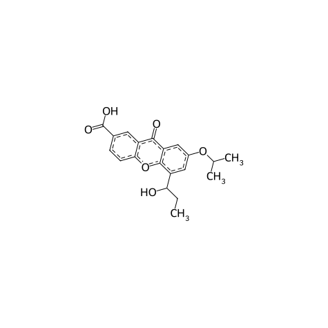 CCC(O)c1cc(OC(C)C)cc2c(=O)c3cc(C(=O)O)ccc3oc12